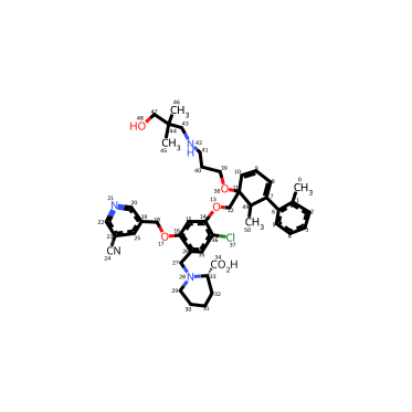 Cc1ccccc1C1=CC=CC(COc2cc(OCc3cncc(C#N)c3)c(CN3CCCC[C@H]3C(=O)O)cc2Cl)(OCCCNCC(C)(C)CO)C1C